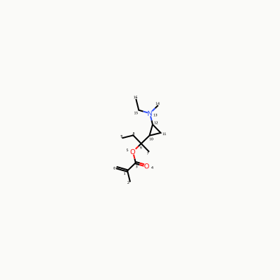 C=C(C)C(=O)OC(C)(CC)C1CC1N(C)CC